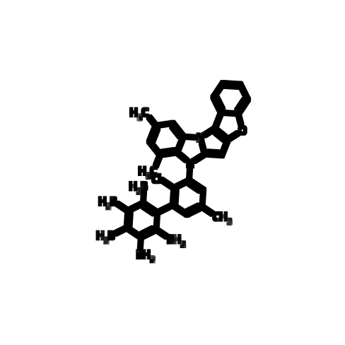 Bc1c(B)c(B)c(-c2cc(C)cc(-n3c4c(C)cc(C)cc4n4c5c(cc34)oc3ccccc35)c2Cl)c(B)c1B